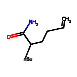 C=CCCC(CCCC)C(N)=O